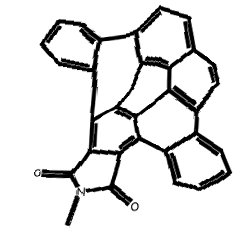 Cn1c(=O)c2c(c1=O)c1c3ccccc3c3ccc4ccc5c6ccccc6c2c2c5c4c3c12